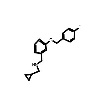 Fc1ccc(COc2cccc(CNCC3CC3)c2)cc1